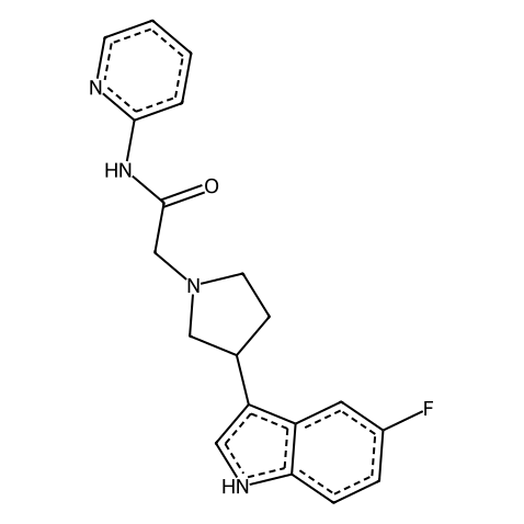 O=C(CN1CCC(c2c[nH]c3ccc(F)cc23)C1)Nc1ccccn1